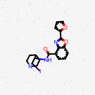 O=C(NC1C2CCN(CC2)C1I)c1cccc2oc(-c3ccco3)nc12